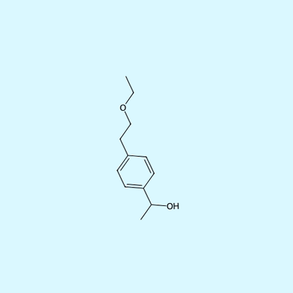 CCOCCc1ccc(C(C)O)cc1